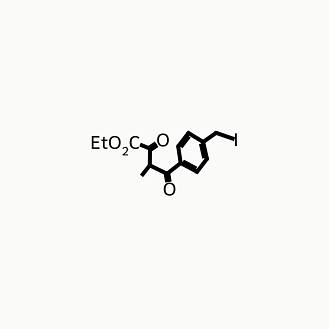 CCOC(=O)C(=O)C(C)C(=O)c1ccc(CI)cc1